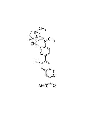 CNC(=O)c1cc2cc(O)c(-c3ccc(N(C)[C@H]4C[C@]5(C)CC[C@](C)(C4)N5)nn3)cc2cn1